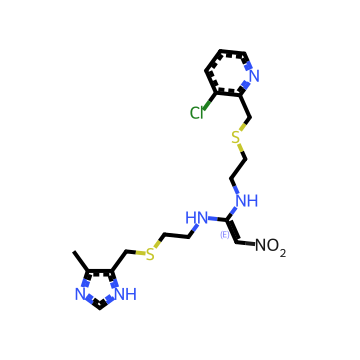 Cc1nc[nH]c1CSCCN/C(=C/[N+](=O)[O-])NCCSCc1ncccc1Cl